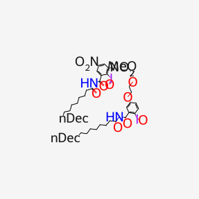 CCCCCCCCCCCCCCCCCC(=O)NC(=O)c1cc(OCCOCCOC)ccc1I=O.CCCCCCCCCCCCCCCCCC(=O)NC(=O)c1cc([N+](=O)[O-])cc([N+](=O)[O-])c1I=O